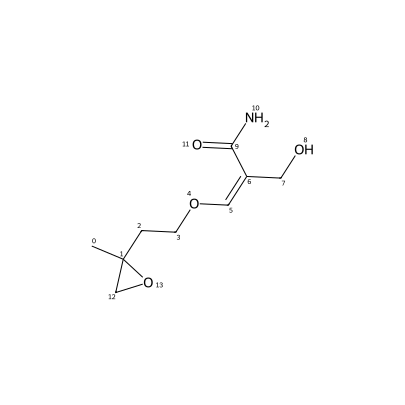 CC1(CCOC=C(CO)C(N)=O)CO1